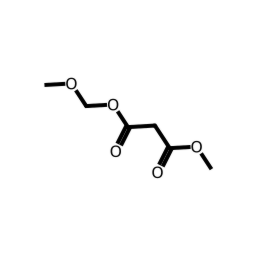 COCOC(=O)CC(=O)OC